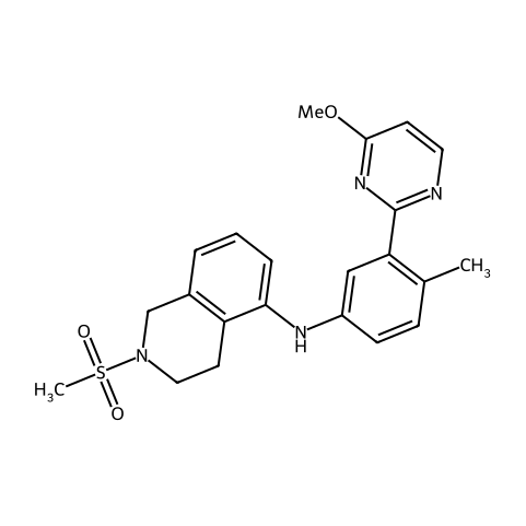 COc1ccnc(-c2cc(Nc3cccc4c3CCN(S(C)(=O)=O)C4)ccc2C)n1